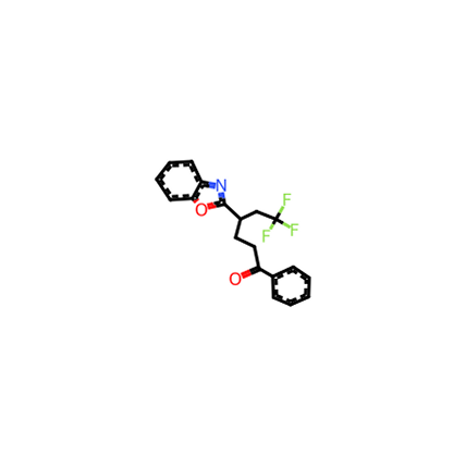 O=C(CCC(CC(F)(F)F)c1nc2ccccc2o1)c1ccccc1